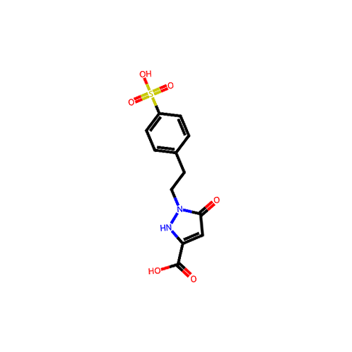 O=C(O)c1cc(=O)n(CCc2ccc(S(=O)(=O)O)cc2)[nH]1